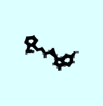 COc1ccccc1CCNC1CC1c1c[nH]c2ccc(F)cc12